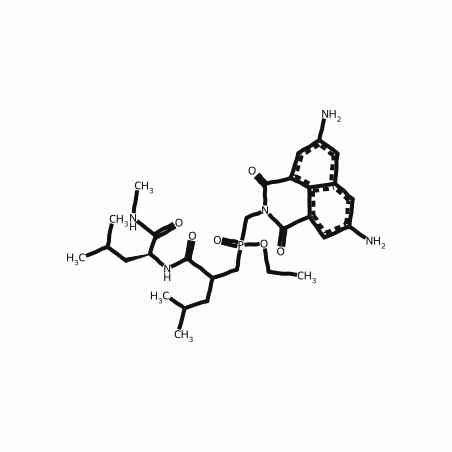 CCOP(=O)(CC(CC(C)C)C(=O)N[C@@H](CC(C)C)C(=O)NC)CN1C(=O)c2cc(N)cc3cc(N)cc(c23)C1=O